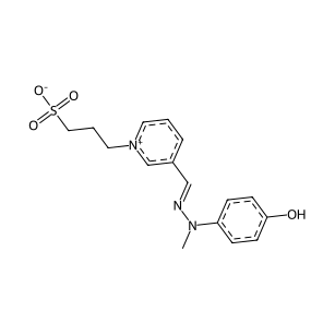 CN(N=Cc1ccc[n+](CCCS(=O)(=O)[O-])c1)c1ccc(O)cc1